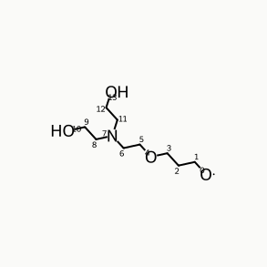 [O]CCCOCCN(CCO)CCO